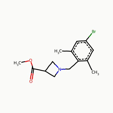 COC(=O)C1CN(Cc2c(C)cc(Br)cc2C)C1